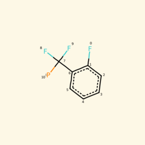 Fc1ccccc1C(F)(F)[P]